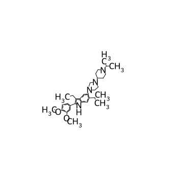 CCc1c(-c2ccc(OC)c(OC)c2)[nH]c2cc(C(C)C)c(N3CCN(C4CCN(C(C)C)CC4)CC3)cc12